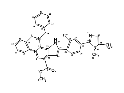 COC(=O)c1cnc(N(Cc2ccccc2)Cc2ccccc2)c2[nH]c(-c3ccc(-c4ncc(C)n4C)cc3F)cc12